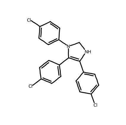 Clc1ccc(C2=C(c3ccc(Cl)cc3)N(c3ccc(Cl)cc3)CN2)cc1